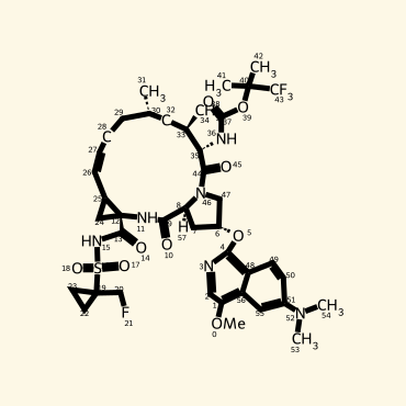 COc1cnc(O[C@@H]2C[C@H]3C(=O)N[C@]4(C(=O)NS(=O)(=O)C5(CF)CC5)CC4/C=C\CC[C@H](C)C[C@@H](C)[C@H](NC(=O)OC(C)(C)C(F)(F)F)C(=O)N3C2)c2ccc(N(C)C)cc12